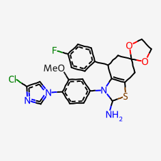 COc1cc(N2C3=C(CC4(CC3c3ccc(F)cc3)OCCO4)SC2N)ccc1-n1cnc(Cl)c1